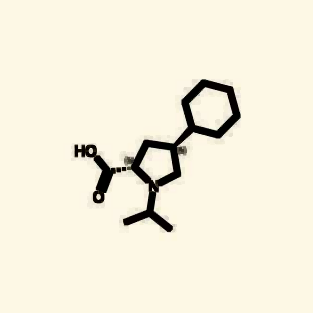 CC(C)N1C[C@H](C2CCCCC2)C[C@H]1C(=O)O